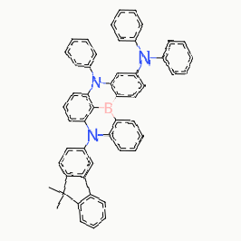 CC1(C)c2ccccc2-c2cc(N3c4ccccc4B4c5ccc(N(c6ccccc6)c6ccccc6)cc5N(c5ccccc5)c5cccc3c54)ccc21